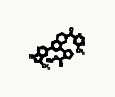 Cc1cc(C(=O)N2CCc3cc(-c4cnc5[nH]cc(C)c5c4)cc(C4CCCN4C(=O)OC(C)(C)C)c3C2)ncn1